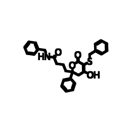 O=C(CCCC1(c2ccccc2)CC(O)=C(SCc2ccccc2)C(=O)O1)NCc1ccccc1